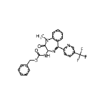 CN1C(=O)C(NC(=O)OCc2ccccc2)N=C(c2ccc(C(F)(F)F)cn2)c2ccccc21